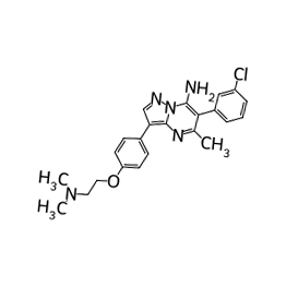 Cc1nc2c(-c3ccc(OCCN(C)C)cc3)cnn2c(N)c1-c1cccc(Cl)c1